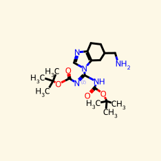 CC(C)(C)OC(=O)/N=C(/NC(=O)OC(C)(C)C)n1cnc2c1CC(CN)CC2